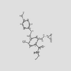 CCNC(=O)c1cc(Cl)c(OCc2ccc(OC)cc2)cc1OC[C@@H]1CO1